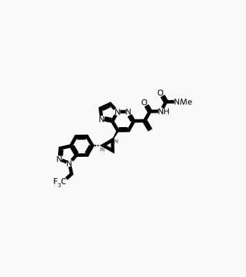 C=C(C(=O)NC(=O)NC)c1cc([C@H]2C[C@@H]2c2ccc3cnn(CC(F)(F)F)c3c2)c2nccn2n1